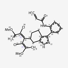 C=CC(=O)Nc1ccccc1-c1n[nH]c2c1CCC(C(/C(Cl)=C(\C)OC)=C(\Cl)C(=C)OC)C2